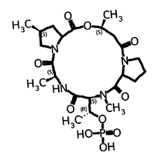 C[C@H]1CC2C(=O)O[C@@H](C)CC(=O)N3CCCC3C(=O)N(C)[C@@H]([C@@H](C)OP(=O)(O)O)C(=O)N[C@@H](C)C(=O)N2C1